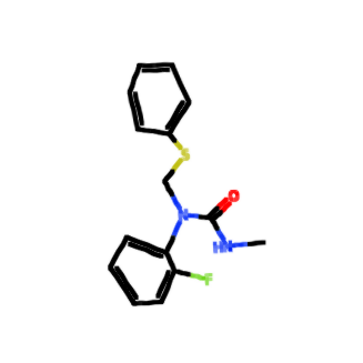 CNC(=O)N(CSc1ccccc1)c1ccccc1F